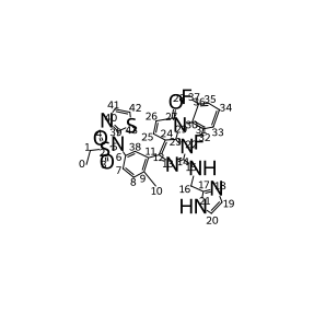 CCS(=O)(=O)N(c1ccc(C)c(-c2nc(NCc3ncc[nH]3)nc3c2ccc(=O)n3-c2c(F)cccc2F)c1)c1nccs1